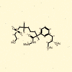 CNNC(=O)[C@](C)(CCCC(C)(C)CS(=O)(=O)CCO)c1cccc(C[C@@H](COC(C)=O)OC(C)=O)c1